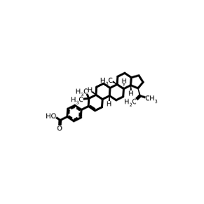 C=C(C)[C@@H]1CCC2CC[C@@]3(C)C4CC[C@@H]5C(CC=C(c6ccc(C(=O)O)cc6)C5(C)C)[C@H]4CC[C@@H]3[C@H]21